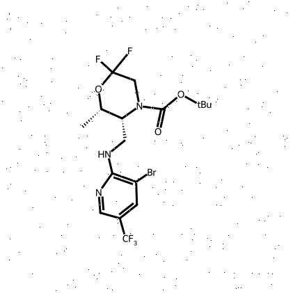 C[C@@H]1OC(F)(F)CN(C(=O)OC(C)(C)C)[C@@H]1CNc1ncc(C(F)(F)F)cc1Br